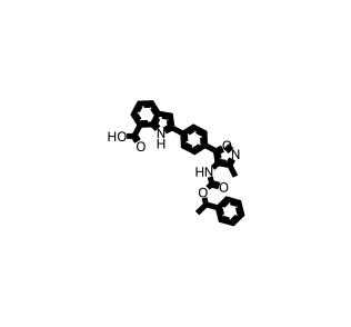 Cc1noc(-c2ccc(-c3cc4cccc(C(=O)O)c4[nH]3)cc2)c1NC(=O)OC(C)c1ccccc1